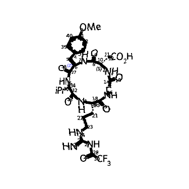 COc1ccc(/C=C2\NC(=O)[C@H](CC(=O)O)NC(=O)CNC(=O)[C@H](CCCNC(=N)NC(=O)C(F)(F)F)NC(=O)[C@H](C(C)C)NC2=O)cc1